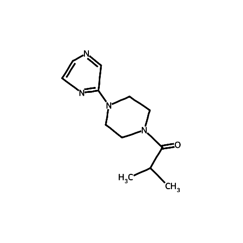 CC(C)C(=O)N1CCN(c2cnccn2)CC1